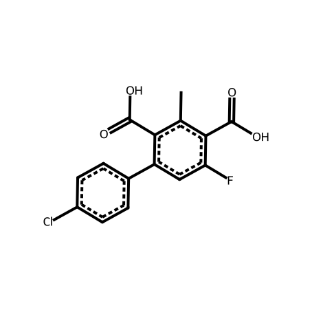 Cc1c(C(=O)O)c(F)cc(-c2ccc(Cl)cc2)c1C(=O)O